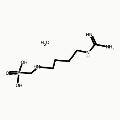 N=C(N)NCCCCNCP(=O)(O)O.O